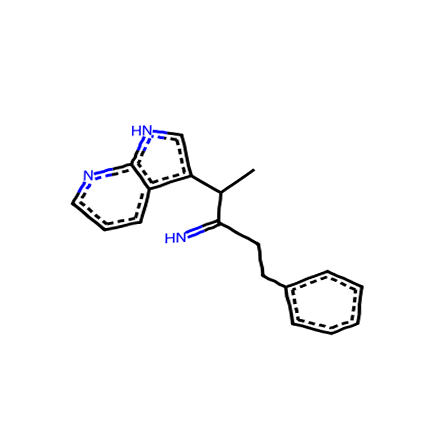 CC(C(=N)CCc1ccccc1)c1c[nH]c2ncccc12